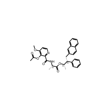 COc1ccnc(C(=O)N[C@@H](C)C(=O)O[C@@H](C)[C@H](Cc2ccc3ccccc3c2)c2ccccc2)c1OC(C)=O